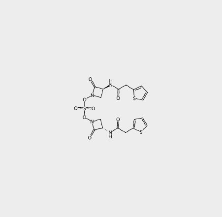 O=C(Cc1cccs1)N[C@H]1CN(OS(=O)(=O)ON2C[C@H](NC(=O)Cc3cccs3)C2=O)C1=O